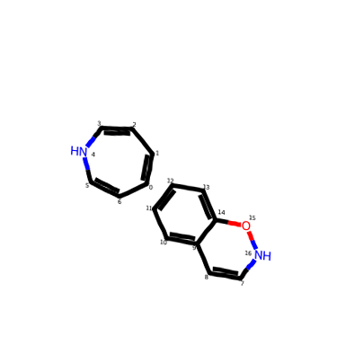 C1=CC=CNC=C1.C1=Cc2ccccc2ON1